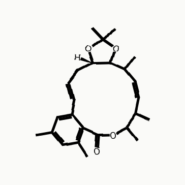 Cc1cc(C)c2c(c1)/C=C/C[C@@H]1OC(C)(C)OC1C(C)/C=C\C(C)C(C)OC2=O